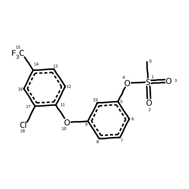 CS(=O)(=O)Oc1cccc(Oc2ccc(C(F)(F)F)cc2Cl)c1